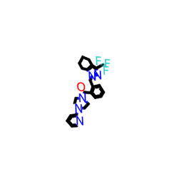 O=C(c1ccccc1Cn1nc(C(F)(F)F)c2c1CCCC2)N1CCN(c2ccccn2)CC1